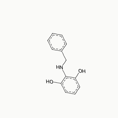 Oc1cccc(O)c1NCc1ccccc1